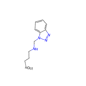 CCCCCCCCCCCNCn1nnc2ccccc21